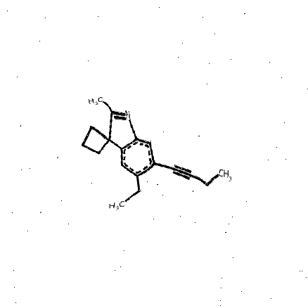 CCC#Cc1cc2c(cc1CC)C1(CCC1)C(C)=N2